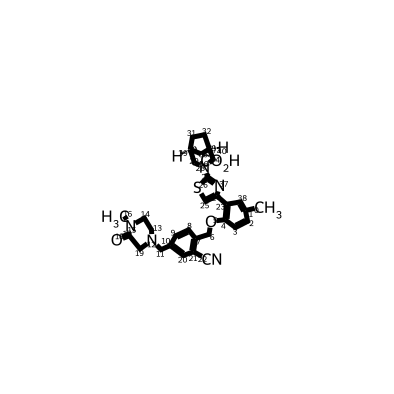 Cc1ccc(OCc2ccc(CN3CCN(C)C(=O)C3)cc2C#N)c(-c2csc(N3C[C@H]4CC[C@@H](C3)C4C(=O)O)n2)c1